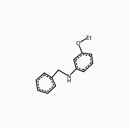 CCOc1cccc(N[CH]c2ccccc2)c1